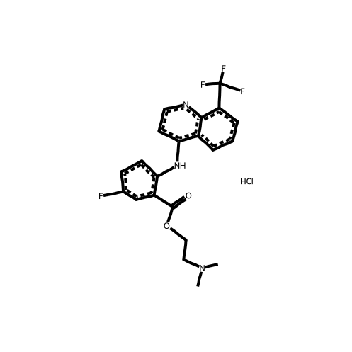 CN(C)CCOC(=O)c1cc(F)ccc1Nc1ccnc2c(C(F)(F)F)cccc12.Cl